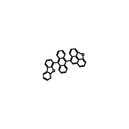 c1ccc2c(c1)oc1c(-c3c4ccccc4c(-c4cc5cccc6oc7cccc4c7c56)c4ccccc34)cccc12